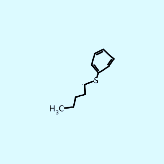 CCCC[CH]Sc1ccccc1